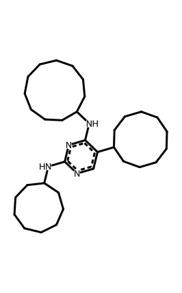 c1nc(NC2CCCCCCCC2)nc(NC2CCCCCCCCCC2)c1C1CCCCCCCCC1